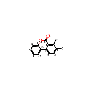 Cc1ccc2c(c1C)c(=O)oc1ccccc12